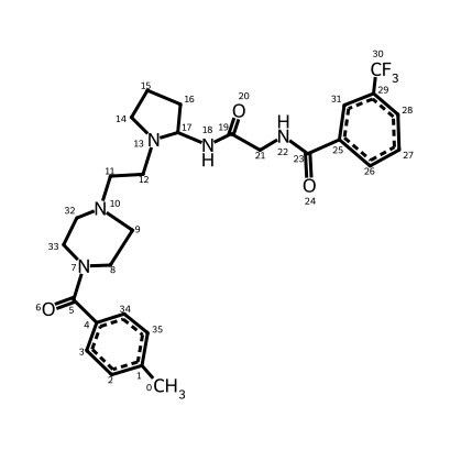 Cc1ccc(C(=O)N2CCN(CCN3CCCC3NC(=O)CNC(=O)c3cccc(C(F)(F)F)c3)CC2)cc1